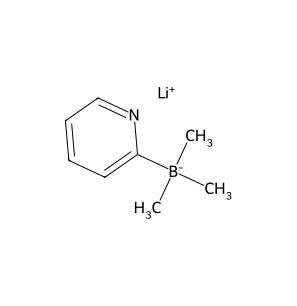 C[B-](C)(C)c1ccccn1.[Li+]